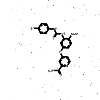 CNC(=O)c1cc(Oc2ccc(NC)c(NC(=S)Nc3ccc(Br)cc3)c2)ccn1